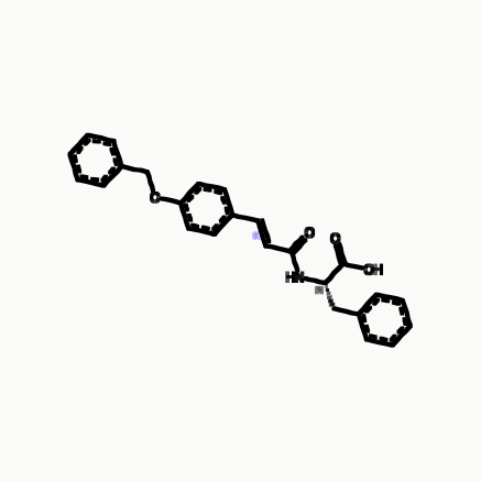 O=C(/C=C/c1ccc(OCc2ccccc2)cc1)N[C@@H](Cc1ccccc1)C(=O)O